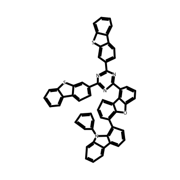 c1ccc(-n2c3ccccc3c3cccc(-c4cccc5c4oc4cccc(-c6nc(-c7ccc8c(c7)sc7ccccc78)nc(-c7ccc8c(c7)sc7ccccc78)n6)c45)c32)cc1